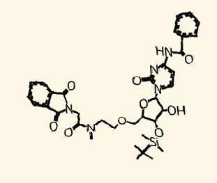 CN(CCOC[C@H]1O[C@@H](n2ccc(NC(=O)c3ccccc3)nc2=O)C(O)[C@H]1O[Si](C)(C)C(C)(C)C)C(=O)CN1C(=O)c2ccccc2C1=O